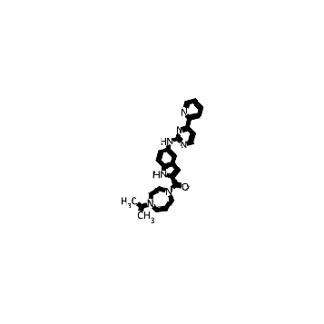 CC(C)N1CCCN(C(=O)c2cc3cc(Nc4nccc(-c5ccccn5)n4)ccc3[nH]2)CC1